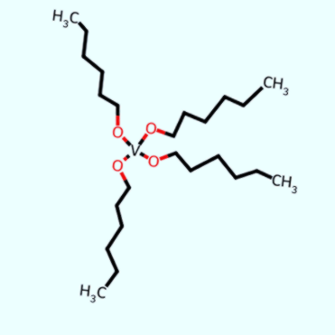 CCCCCC[O][V]([O]CCCCCC)([O]CCCCCC)[O]CCCCCC